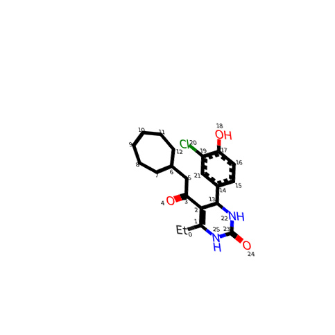 CCC1=C(C(=O)CC2CCCCCC2)C(c2ccc(O)c(Cl)c2)NC(=O)N1